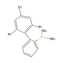 C[CH]c1cc(C(C)C)c(-c2ccccc2P(C(C)(C)C)C(C)(C)C)c(C(C)C)c1